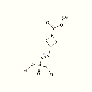 CCOP(=O)(/C=C/C1CN(C(=O)OC(C)(C)C)C1)OCC